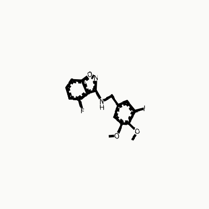 COc1cc(CNc2noc3cccc(F)c23)cc(I)c1OC